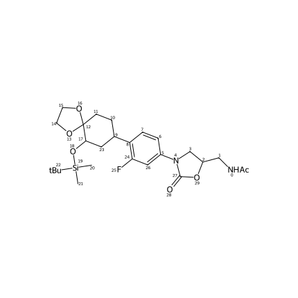 CC(=O)NCC1CN(c2ccc(C3CCC4(OCCO4)C(O[Si](C)(C)C(C)(C)C)C3)c(F)c2)C(=O)O1